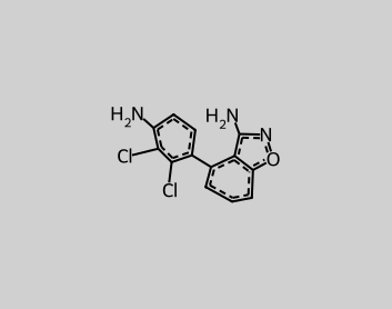 Nc1ccc(-c2cccc3onc(N)c23)c(Cl)c1Cl